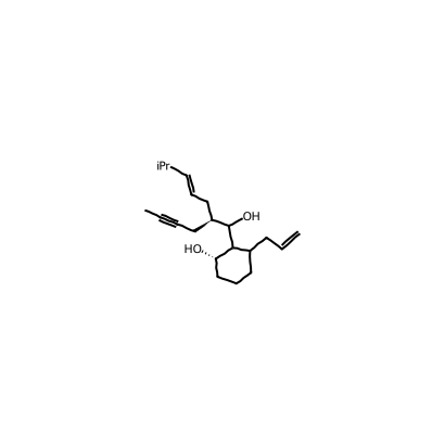 C=CCC1CCC[C@H](O)C1C(O)[C@@H](CC#CC)C/C=C/C(C)C